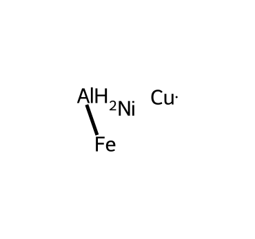 [AlH2][Fe].[Cu].[Ni]